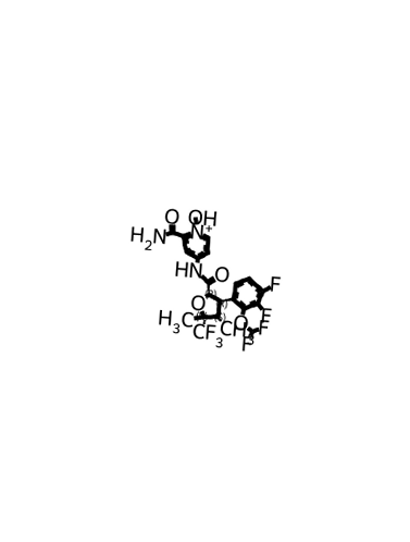 C[C@H]1[C@H](c2ccc(F)c(F)c2OC(F)F)[C@H](C(=O)Nc2cc[n+](O)c(C(N)=O)c2)O[C@@]1(C)C(F)(F)F